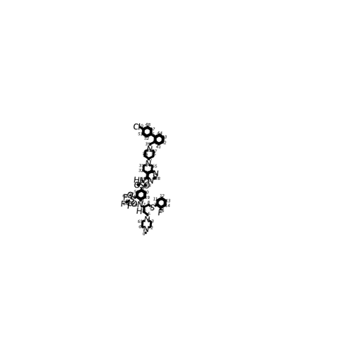 CN1CCN(CCC(CSc2ccccc2F)Nc2ccc(S(=O)(=O)Nc3ncnc4c3CCN(C3CCN(Cc5ccccc5-c5ccc(Cl)cc5)CC3)C4)cc2S(=O)(=O)C(F)(F)F)CC1